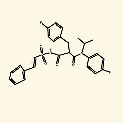 CC(C)N(C(=O)C(Cc1ccc(F)cc1)C(=O)NS(=O)(=O)/C=C/c1ccccc1)c1ccc(F)cc1